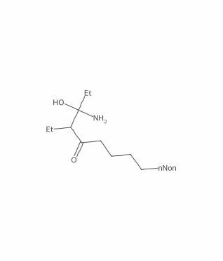 CCCCCCCCCCCCCC(=O)C(CC)C(N)(O)CC